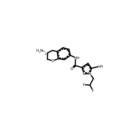 CCCc1cc(C(=O)Nc2ccc3c(c2)OC[C@H](N)C3)nn1CC(F)F